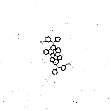 Cc1cccc(N(c2ccccc2)c2ccc3c4c(ccc3c2)-c2c(c3ccc(N(c5ccccc5)c5cccc(C)c5)cc3c3ccccc23)C4(c2ccccc2)c2ccccc2)c1